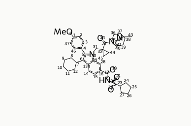 COc1ccc(-c2c(C3CCCCC3)c3ccc(C(=O)NS(=O)(=O)C4CCCC4)cc3n2CC2(C(=O)N3CC4CCC3CN4C)CC2)cc1